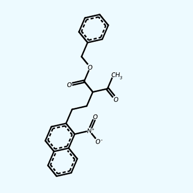 CC(=O)C(CCc1ccc2ccccc2c1[N+](=O)[O-])C(=O)OCc1ccccc1